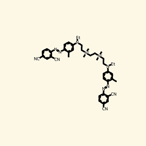 CCN(CC[N+](C)(C)CC[N+](C)(C)CCN(CC)c1ccc(N=Nc2ccc(C#N)cc2C#N)c(C)c1)c1ccc(N=Nc2ccc(C#N)cc2C#N)c(C)c1